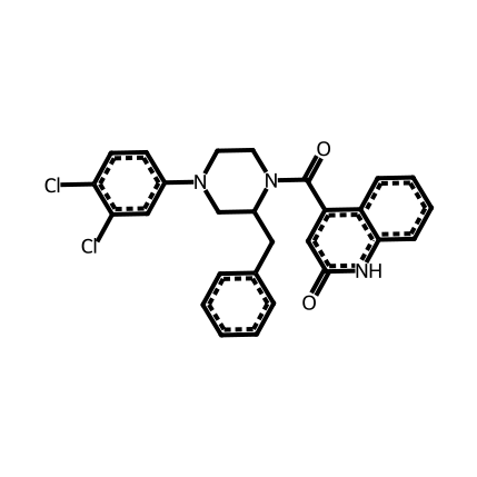 O=C(c1cc(=O)[nH]c2ccccc12)N1CCN(c2ccc(Cl)c(Cl)c2)CC1Cc1ccccc1